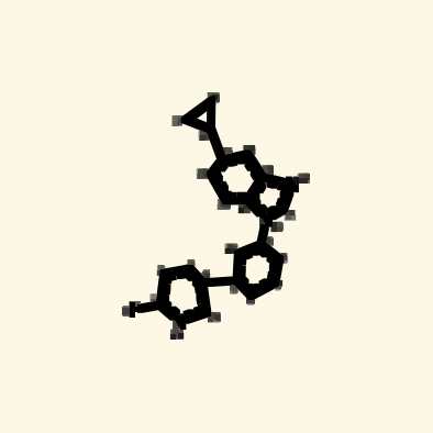 Fc1ccc(-c2cccc(-n3cnc4cc(C5CC5)ccc43)c2)cn1